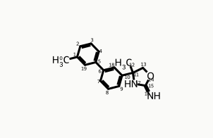 Cc1cccc(-c2cccc(C3(C)COC(=N)N3)c2)c1